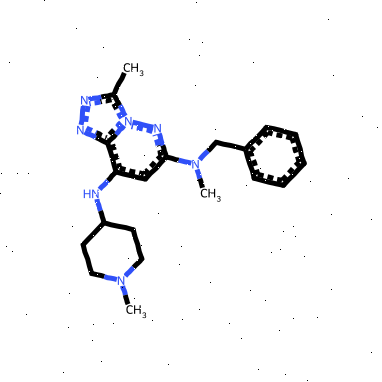 Cc1nnc2c(NC3CCN(C)CC3)cc(N(C)Cc3ccccc3)nn12